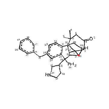 CC1(C)CC(=O)CC(C)(C)P1c1ccc(Cc2ccccc2)cc1C(P)(C1CCNC1)C1CCNC1